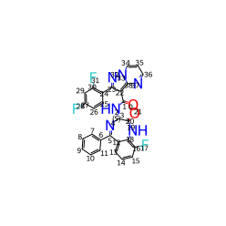 O=C(N[C@H]1N=C(c2ccccc2)c2cccc(F)c2NC1=O)c1c(-c2ccc(F)cc2F)nn2cccnc12